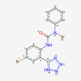 O=C(Nc1ccc(Br)cc1-c1nnn[nH]1)N(Br)c1ccccc1